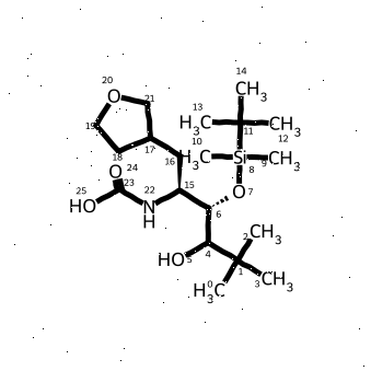 CC(C)(C)C(O)[C@@H](O[Si](C)(C)C(C)(C)C)[C@H](CC1CCOC1)NC(=O)O